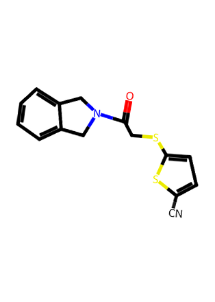 N#Cc1ccc(SCC(=O)N2Cc3ccccc3C2)s1